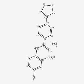 Cl.O=C(Nc1ccc(Cl)cc1C(=O)O)c1ccc(N2CCCC2)cc1